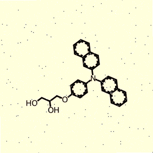 OCC(O)COc1ccc(N(c2ccc3ccccc3c2)c2ccc3ccccc3c2)cc1